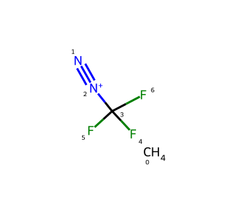 C.N#[N+]C(F)(F)F